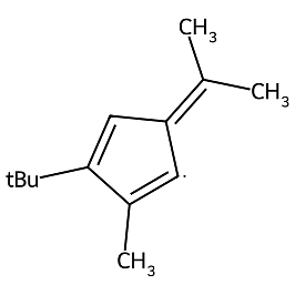 CC1=[C]C(=C(C)C)C=C1C(C)(C)C